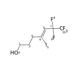 OCCCC(I)=CC(F)(F)C(F)(F)F